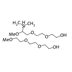 COC(COCCOCCO)[SiH](C)C.COCCOCCOCCO